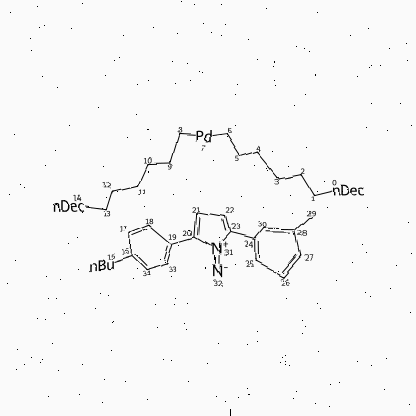 CCCCCCCCCCCCCCC[CH2][Pd][CH2]CCCCCCCCCCCCCCC.CCCCc1ccc(C2=CC=C(c3cccc(C)c3)[N+]2=[N-])cc1